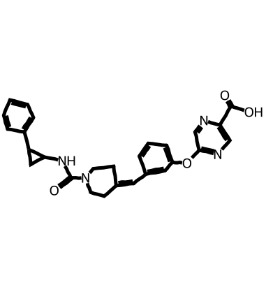 O=C(O)c1cnc(Oc2cccc(C=C3CCN(C(=O)NC4CC4c4ccccc4)CC3)c2)cn1